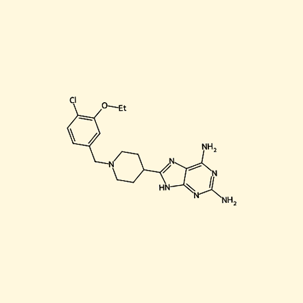 CCOc1cc(CN2CCC(c3nc4c(N)nc(N)nc4[nH]3)CC2)ccc1Cl